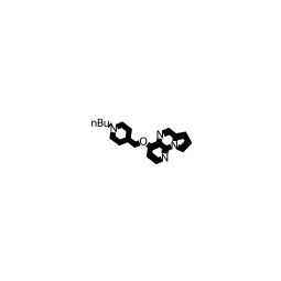 CCCCN1CCC(COc2ccnc3c2ncc2cccn23)CC1